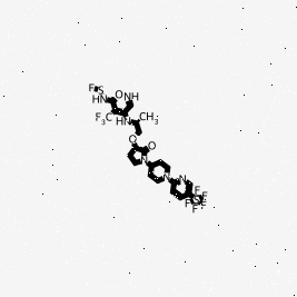 C[C@@H](COC1CCN(C2CCN(c3ccc(S(F)(F)(F)(F)F)cn3)CC2)C1=O)N/C(C=N)=C(/C(=O)NSF)C(F)(F)F